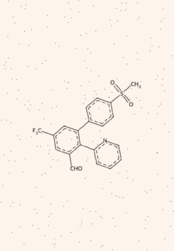 CS(=O)(=O)c1ccc(-c2cc(C(F)(F)F)cc(C=O)c2-c2ccccn2)cc1